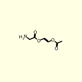 CC(=O)OC=COC(=O)CN